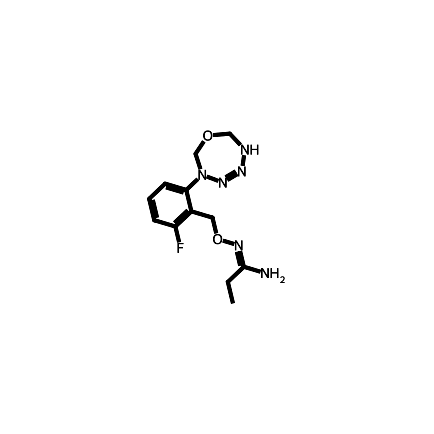 CC/C(N)=N\OCc1c(F)cccc1N1COCNN=N1